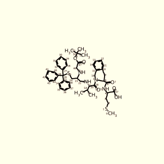 CSCCC(NC(=O)C1Cc2ccccc2CN1C(=O)[C@@H](NCC(CSC(c1ccccc1)(c1ccccc1)c1ccccc1)NCC(=O)OC(C)(C)C)C(C)C)C(=O)O